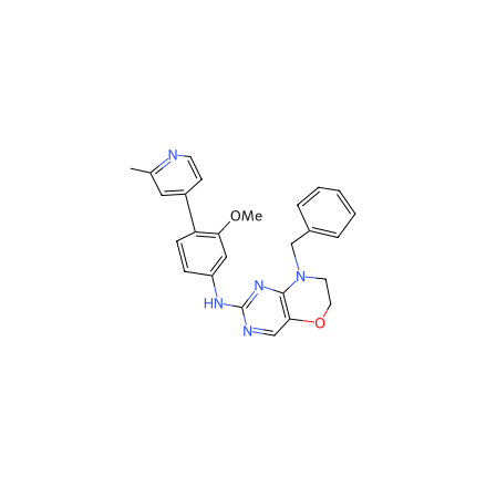 COc1cc(Nc2ncc3c(n2)N(Cc2ccccc2)CCO3)ccc1-c1ccnc(C)c1